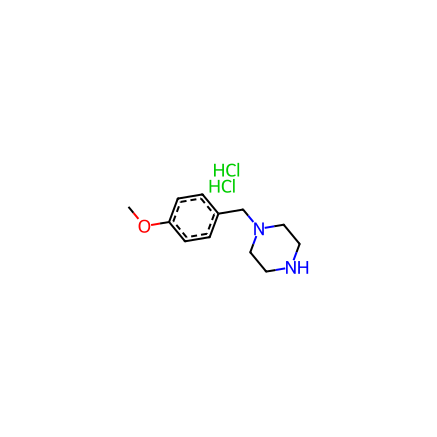 COc1ccc(CN2CCNCC2)cc1.Cl.Cl